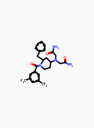 NC(=O)CN(CC(N)=O)C1CCN(C(=O)c2cc(C(F)(F)F)cc(C(F)(F)F)c2)C(Cc2ccccc2)C1